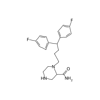 NC(=O)C1CNCCN1CCCC(c1ccc(F)cc1)c1ccc(F)cc1